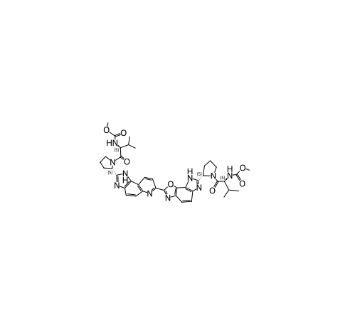 COC(=O)N[C@H](C(=O)N1CCC[C@H]1c1nc2ccc3nc(-c4nc5ccc6nc([C@@H]7CCCN7C(=O)[C@@H](NC(=O)OC)C(C)C)[nH]c6c5o4)ccc3c2[nH]1)C(C)C